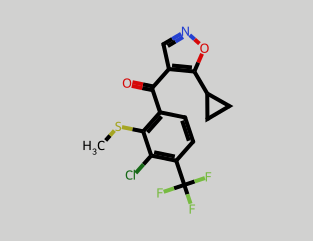 CSc1c(C(=O)c2cnoc2C2CC2)ccc(C(F)(F)F)c1Cl